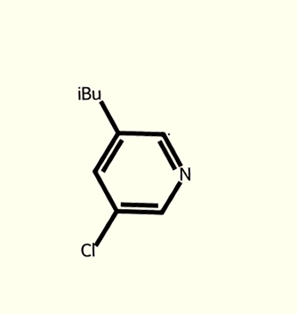 CCC(C)c1[c]ncc(Cl)c1